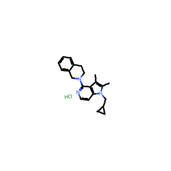 Cc1c(C)n(CC2CC2)c2ccnc(N3CCc4ccccc4C3)c12.Cl